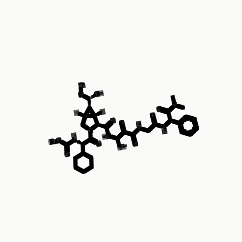 CCCC(NC(=O)[C@@H]1[C@@H]2[C@H](CN1C(=O)[C@@H](NC(=O)OCC(C)C)C1CCCCC1)[C@@H]2[C@@H](O)OCC)C(=O)C(=O)NCC(=O)NC(C(=O)N(C)C)c1ccccc1